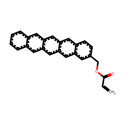 C=CC(=O)OCc1ccc2cc3cc4cc5ccccc5cc4cc3cc2c1